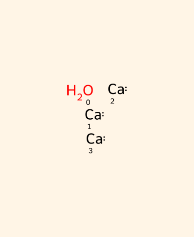 O.[Ca].[Ca].[Ca]